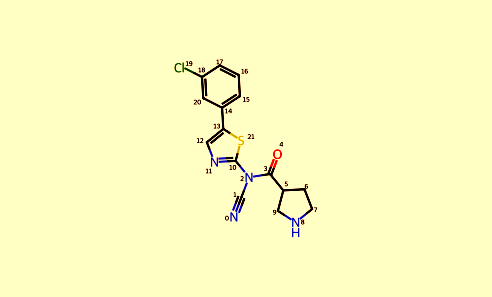 N#CN(C(=O)C1CCNC1)c1ncc(-c2cccc(Cl)c2)s1